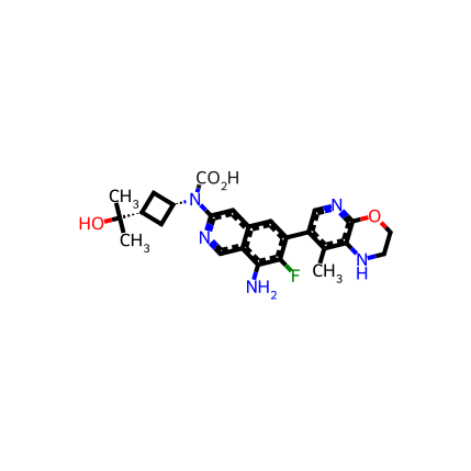 Cc1c(-c2cc3cc(N(C(=O)O)[C@H]4C[C@@H](C(C)(C)O)C4)ncc3c(N)c2F)cnc2c1NCCO2